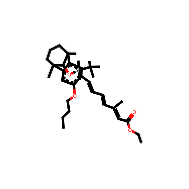 CCCCOc1cc2c(cc1/C=C/C=C/C(C)=C/C(=O)OCC)C1(C)CCCC2(C)C1O[Si](C)(C)C(C)(C)C